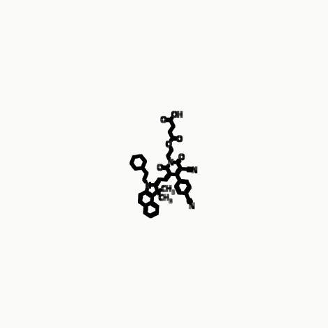 CC1(C)/C(=C\C=C2/C(=O)N(CCOC(=O)CCC(=O)O)C(=O)C(C#N)=C2c2ccc(C#N)cc2)N(CCC2CCCCC2)c2ccc3ccccc3c21